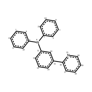 c1ccc(N(c2ccccc2)c2cccc(-c3ccccn3)c2)cc1